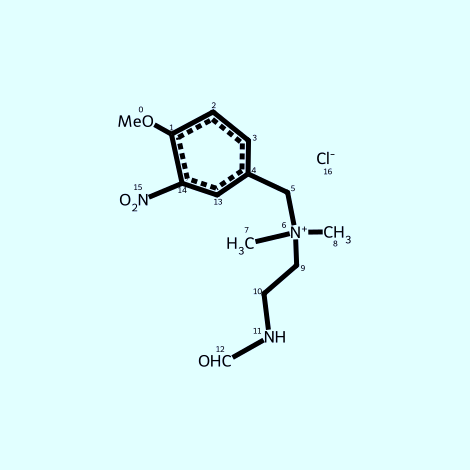 COc1ccc(C[N+](C)(C)CCNC=O)cc1[N+](=O)[O-].[Cl-]